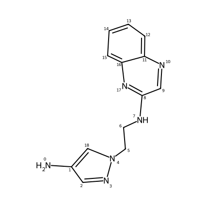 Nc1cnn(CCNc2cnc3ccccc3n2)c1